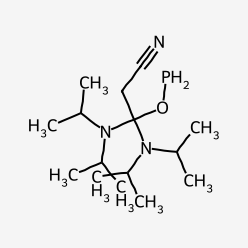 CC(C)N(C(C)C)C(CC#N)(OP)N(C(C)C)C(C)C